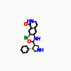 O=C(Nc1cc2cc[nH]c(=O)c2cc1Br)[C@H]1CNC[C@@H]1c1ccccc1